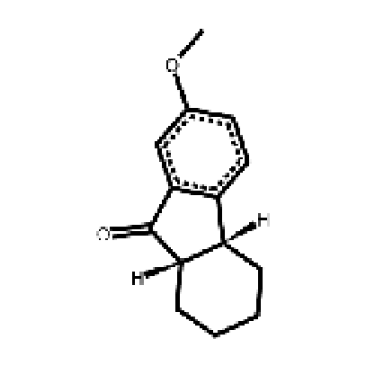 COc1ccc2c(c1)C(=O)[C@H]1CCCC[C@@H]21